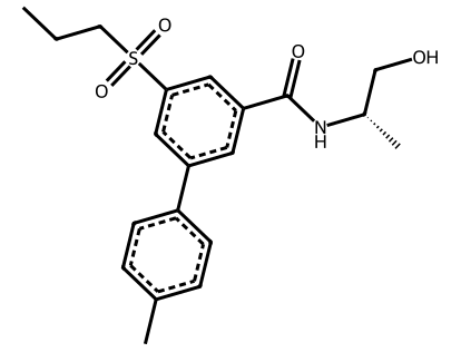 CCCS(=O)(=O)c1cc(C(=O)N[C@@H](C)CO)cc(-c2ccc(C)cc2)c1